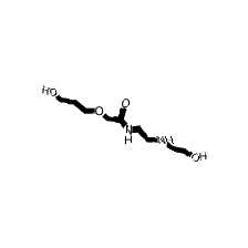 O=C(COCCCO)NCCNCCO